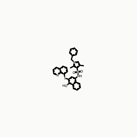 Cc1cn(Cc2ccccc2)c(C)c1S(=O)(=O)Nc1cc(Sc2cccc3cccnc23)c(O)c2ccccc12